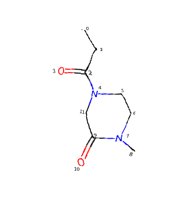 [CH2]CC(=O)N1CCN(C)C(=O)C1